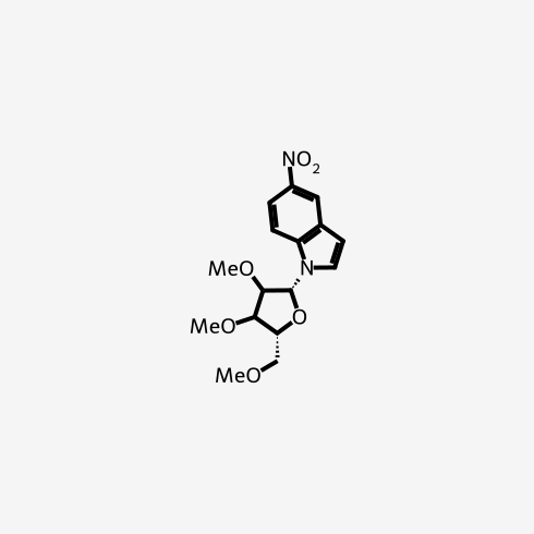 COC[C@H]1O[C@@H](n2ccc3cc([N+](=O)[O-])ccc32)C(OC)C1OC